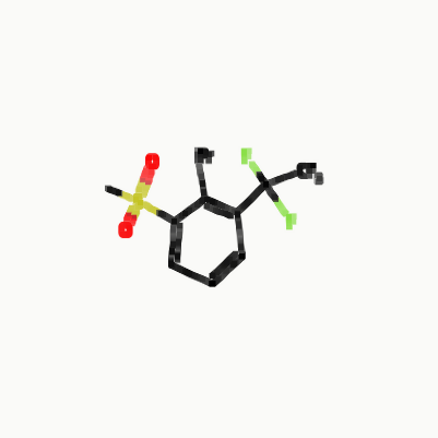 CC(C)c1c(C(F)(F)C(F)(F)F)cccc1S(C)(=O)=O